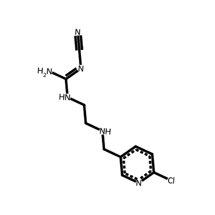 N#CN=C(N)NCCNCc1ccc(Cl)nc1